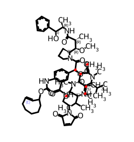 CC[C@H](C)[C@@H]([C@@H](CC(=O)N1CCC[C@H]1[C@H](OC)[C@@H](C)C(=O)N[C@H](C)[C@@H](O)c1ccccc1)OC)N(C)C(=O)[C@@H](NC(=O)[C@H](C(C)C)N(C)C(=O)OCc1ccc(NC(=O)OC2/C=C/CCCCC2)c(C(=O)NCCN2C(=O)C=CC2=O)c1)C(C)C